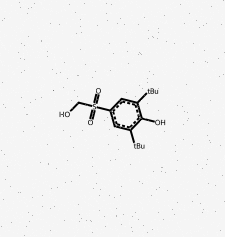 CC(C)(C)c1cc(S(=O)(=O)CO)cc(C(C)(C)C)c1O